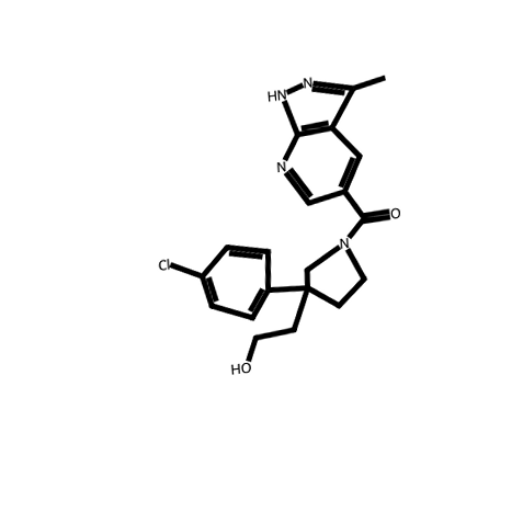 Cc1n[nH]c2ncc(C(=O)N3CCC(CCO)(c4ccc(Cl)cc4)C3)cc12